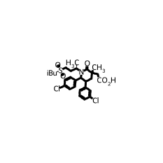 CC[C@@H](C)S(=O)(=O)CC[C@H](C)N1C(=O)C(C)(CC(=O)O)CC(c2cccc(Cl)c2)C1c1ccc(Cl)cc1